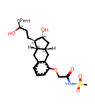 CCCCC[C@H](O)CC[C@@H]1[C@H]2Cc3cccc(OCC(=O)NS(C)(=O)=O)c3C[C@H]2C[C@H]1O